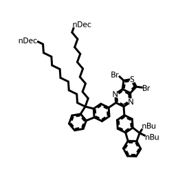 CCCCCCCCCCCCCCCCCCCCC1(CCCCCCCCCCCCCCCCCCCC)c2ccccc2-c2ccc(-c3nc4c(Br)sc(Br)c4nc3-c3ccc4c(c3)C(CCCC)(CCCC)c3ccccc3-4)cc21